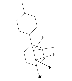 CC1CCC(C23CCC(Br)(CC2)C(F)(F)C3(F)F)CC1